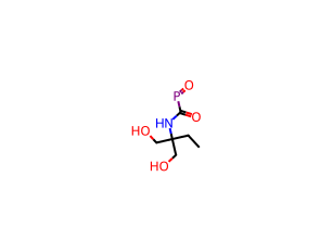 CCC(CO)(CO)NC(=O)P=O